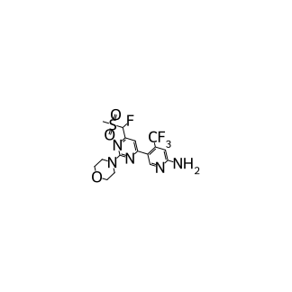 CS(=O)(=O)C(F)c1cc(-c2cnc(N)cc2C(F)(F)F)nc(N2CCOCC2)n1